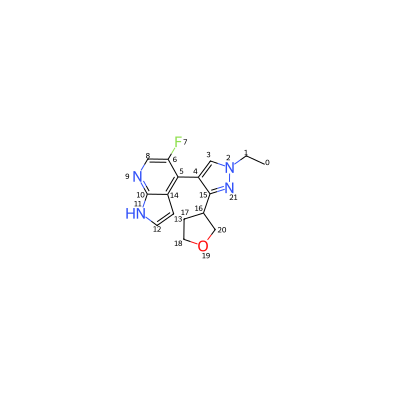 CCn1cc(-c2c(F)cnc3[nH]ccc23)c(C2CCOC2)n1